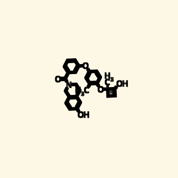 Cc1cc(Oc2cccc(C(=O)N3CCc4cc(O)ccc4C3)c2)ccc1O[C@@]1(C)CC=C1O